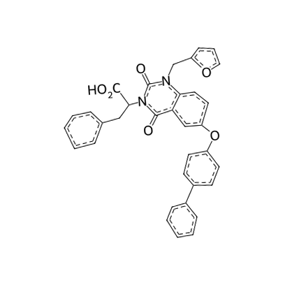 O=C(O)C(Cc1ccccc1)n1c(=O)c2cc(Oc3ccc(-c4ccccc4)cc3)ccc2n(Cc2ccco2)c1=O